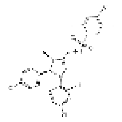 Cc1cc(S(=O)(=O)NCC2=NN(c3ccc(Cl)cc3Cl)[C@@H](c3ccc(Cl)cc3)[C@H]2C)c(C)cc1Cl